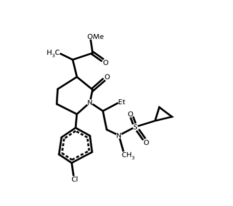 CCC(CN(C)S(=O)(=O)C1CC1)N1C(=O)C(C(C)C(=O)OC)CCC1c1ccc(Cl)cc1